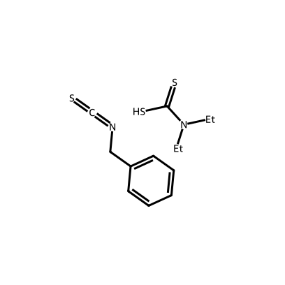 CCN(CC)C(=S)S.S=C=NCc1ccccc1